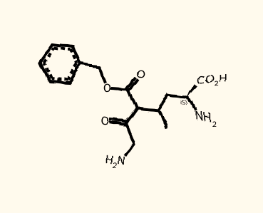 CC(C[C@H](N)C(=O)O)C(C(=O)CN)C(=O)OCc1ccccc1